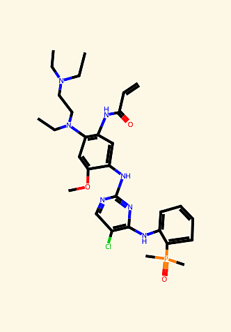 C=CC(=O)Nc1cc(Nc2ncc(Cl)c(Nc3ccccc3P(C)(C)=O)n2)c(OC)cc1N(CC)CCN(CC)CC